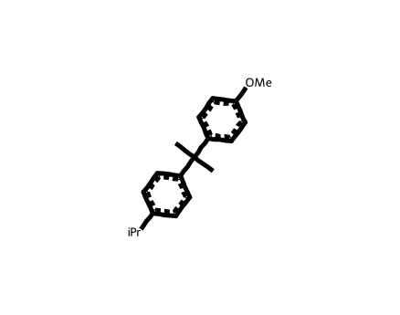 COc1ccc(C(C)(C)c2ccc(C(C)C)cc2)cc1